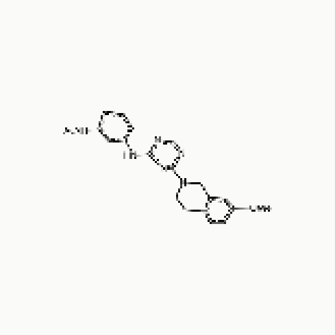 COc1ccc2c(c1)CN(c1ncnc(Nc3cccc(NC(C)=O)c3)n1)CC2